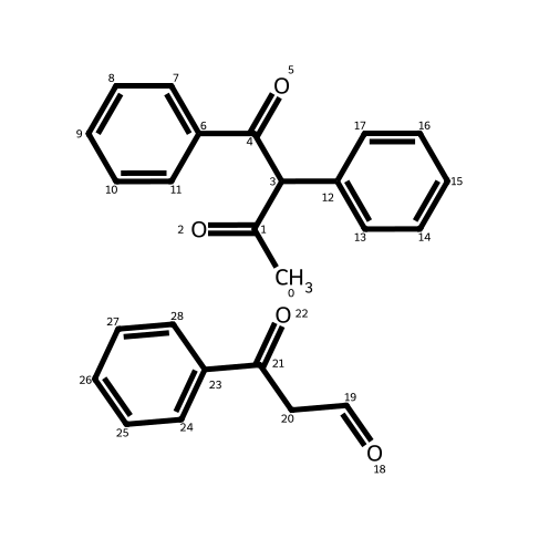 CC(=O)C(C(=O)c1ccccc1)c1ccccc1.O=CCC(=O)c1ccccc1